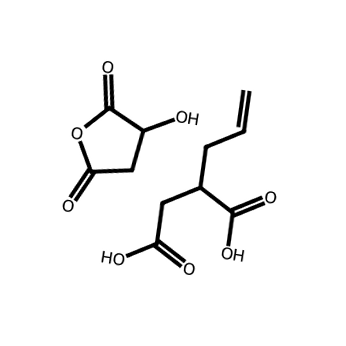 C=CCC(CC(=O)O)C(=O)O.O=C1CC(O)C(=O)O1